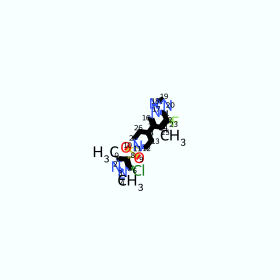 Cc1nn(C)c(Cl)c1S(=O)(=O)N1CCC(c2cn3ncnc3c(F)c2C)CC1